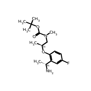 C[C@@H](CN(C)C(=O)OC(C)(C)C)Oc1ccc(F)cc1[C@@H](C)N